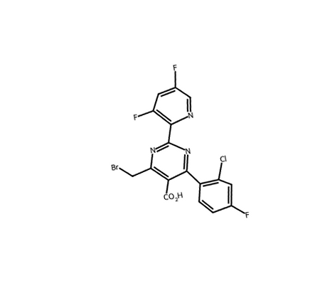 O=C(O)c1c(CBr)nc(-c2ncc(F)cc2F)nc1-c1ccc(F)cc1Cl